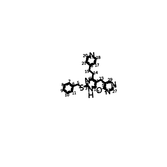 O=c1[nH]c(SCc2ccccc2)nc(CCc2ccncc2)c1Cc1cncnc1